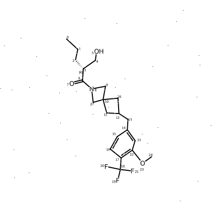 CCC[C@H](CO)C(=O)N1CC2(CC(Cc3ccc(C(F)(F)F)c(OC)c3)C2)C1